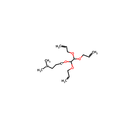 C=CCOC(OCC=C)C(OCC=C)OCCC[Si](C)C